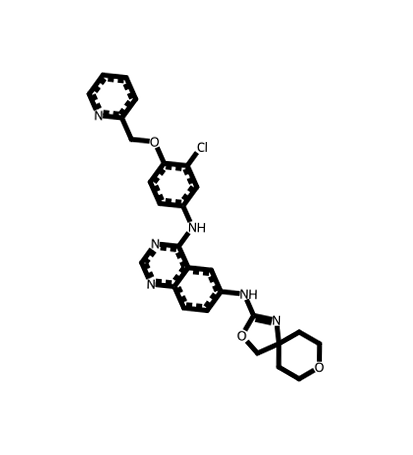 Clc1cc(Nc2ncnc3ccc(NC4=NC5(CCOCC5)CO4)cc23)ccc1OCc1ccccn1